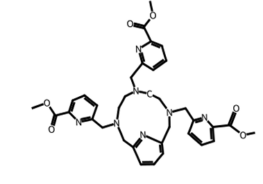 COC(=O)c1cccc(CN2CCN(Cc3cccc(C(=O)OC)n3)Cc3cccc(n3)CN(Cc3cccc(C(=O)OC)n3)CC2)n1